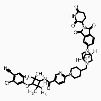 CC1(C)C(NC(=O)c2ccc(N3CCC(CN4C[C@H]5C[C@@H]4CN5c4ccc5c(c4)C(=O)N(C4CCC(=O)NC4=O)C5=O)CC3)nc2)C(C)(C)C1Oc1ccc(C#N)c(Cl)c1